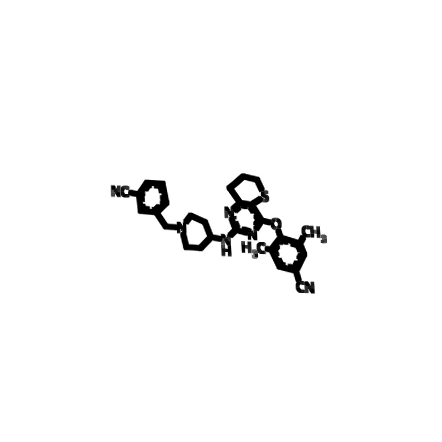 Cc1cc(C#N)cc(C)c1Oc1nc(NC2CCN(Cc3cccc(C#N)c3)CC2)nc2c1SCCC2